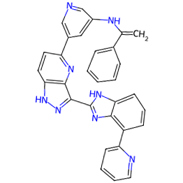 C=C(Nc1cncc(-c2ccc3[nH]nc(-c4nc5c(-c6ccccn6)cccc5[nH]4)c3n2)c1)c1ccccc1